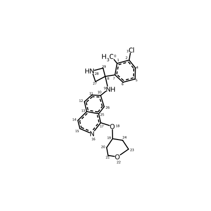 Cc1c(Cl)cccc1C1(Nc2ccc3ccnc(OC4CCOCC4)c3c2)CNC1